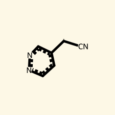 N#C[CH]c1ccnnc1